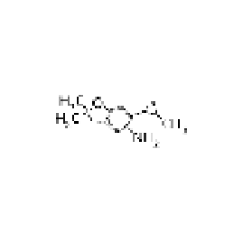 CC1CC1c1cc2c(cc1N)CC(C)(C)O2